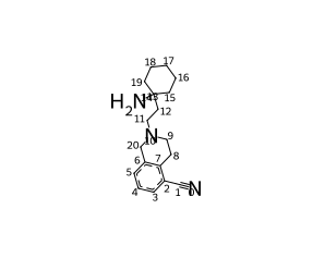 N#Cc1cccc2c1CCN(CCC1(N)CCCCC1)C2